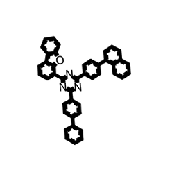 c1ccc(-c2ccc(-c3nc(-c4ccc(-c5cccc6ccccc56)cc4)nc(-c4cccc5c4oc4ccccc45)n3)cc2)cc1